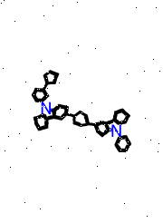 C1=CC=C(c2cccc(-n3c4ccccc4c4cc(C5C=CC(c6ccc7c(c6)c6ccccc6n7-c6ccccc6)=CC5)ccc43)c2)C=1